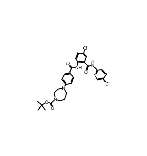 CC(C)(C)OC(=O)N1CCCN(c2ccc(C(=O)Nc3ccc(Cl)cc3C(=O)Nc3ccc(Cl)cn3)cc2)CC1